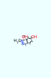 CN1N=Cc2ccc(O)cc2B1O